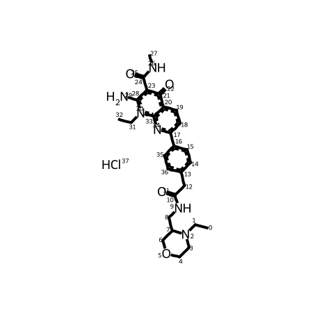 CCN1CCOCC1CNC(=O)Cc1ccc(-c2ccc3c(=O)c(C(=O)NC)c(N)n(CC)c3n2)cc1.Cl